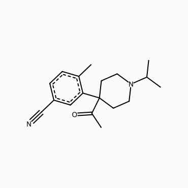 CC(=O)C1(c2cc(C#N)ccc2C)CCN(C(C)C)CC1